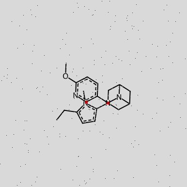 CCc1ccc(N2CC3CC(C2)N3Cc2ccc(OC)nc2)n1C